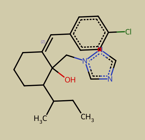 CCC(C)C1CCC/C(=C/c2ccc(Cl)cc2)C1(O)Cn1cncn1